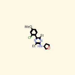 CCc1nc(-c2ccc(OC)cc2Cl)c(CC)nc1N[C@@H]1[CH]COC1